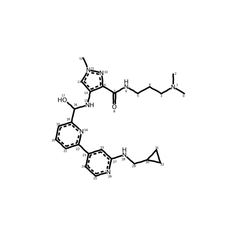 CN(C)CCCNC(=O)c1nn(C)cc1NC(O)c1cccc(-c2ccnc(NCC3CC3)c2)n1